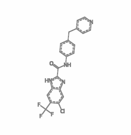 O=C(Nc1ccc(Cc2ccncc2)cc1)c1nc2cc(Cl)c(C(F)(F)F)cc2[nH]1